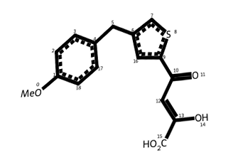 COc1ccc(Cc2csc(C(=O)C=C(O)C(=O)O)c2)cc1